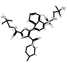 CC1CCN(C(=O)c2nc(C(=O)NCC(C)(C)O)sc2-c2ccc(S(=O)(=O)NCC(C)(C)O)c3ccccc23)CC1